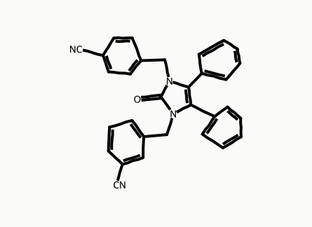 N#Cc1ccc(Cn2c(-c3ccccc3)c(-c3ccccc3)n(Cc3cccc(C#N)c3)c2=O)cc1